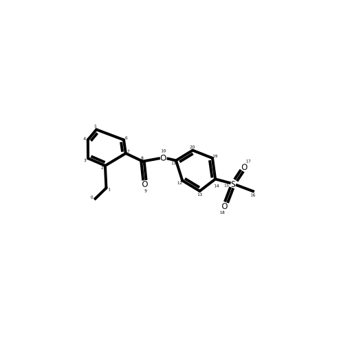 CCc1ccccc1C(=O)Oc1ccc(S(C)(=O)=O)cc1